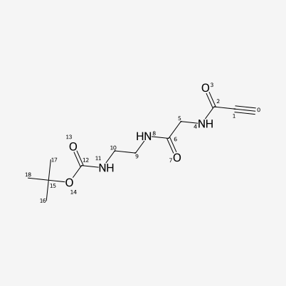 C#CC(=O)NCC(=O)NCCNC(=O)OC(C)(C)C